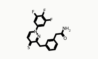 NC(=O)Cc1cccc(Cc2nn(-c3cc(F)c(F)c(F)c3)ccc2=S)c1